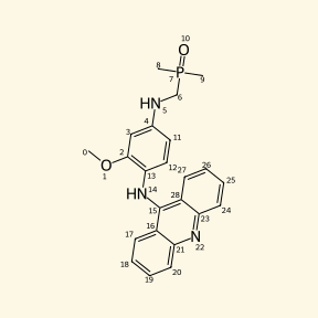 COc1cc(NCP(C)(C)=O)ccc1Nc1c2ccccc2nc2ccccc12